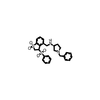 O=S1(=O)CC(S(=O)(=O)c2ccccc2)c2c(CN[C@H]3CCN(Cc4ccccc4)C3)cccc21